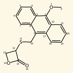 COc1c2ccccc2c(CSC2COC2=O)c2ccccc12